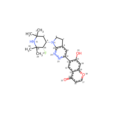 CC1(C)C[C@H](N2CCc3cc(-c4cc5c(=O)ccoc5cc4O)nnc32)[C@H](F)C(C)(C)N1